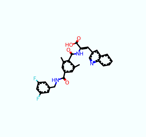 Cc1cc(C(=O)NCc2cc(F)cc(F)c2)cc(C)c1C(=O)N/C(=C\c1cnc2ccccc2c1)C(=O)O